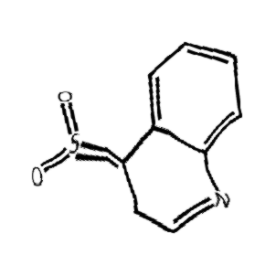 O=S(=O)=C1CC=Nc2ccccc21